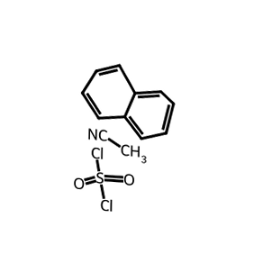 CC#N.O=S(=O)(Cl)Cl.c1ccc2ccccc2c1